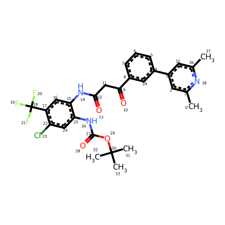 Cc1cc(-c2cccc(C(=O)CC(=O)Nc3cc(C(F)(F)F)c(Cl)cc3NC(=O)OC(C)(C)C)c2)cc(C)n1